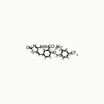 CNC1=NC(=O)SC1=Cc1ccc(OCc2ccc(C(F)(F)F)cc2C(F)(F)F)c(C(=O)O)c1